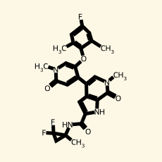 Cc1cc(F)cc(C)c1Oc1cn(C)c(=O)cc1-c1cn(C)c(=O)c2[nH]c(C(=O)NC3(C)CC3(F)F)cc12